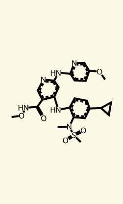 CONC(=O)c1cnc(Nc2ccc(OC)cn2)cc1Nc1ccc(C2CC2)cc1N(C)S(C)(=O)=O